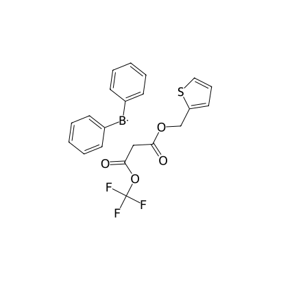 O=C(CC(=O)OC(F)(F)F)OCc1cccs1.[B](c1ccccc1)c1ccccc1